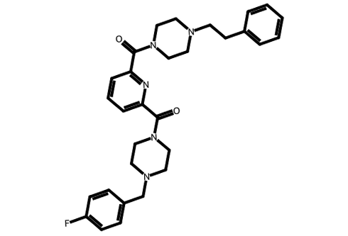 O=C(c1cccc(C(=O)N2CCN(Cc3ccc(F)cc3)CC2)n1)N1CCN(CCc2ccccc2)CC1